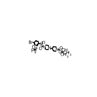 CC(C)(C)OC(=O)N1CCC(N2CCN(C(=O)N(Cl)c3ccc(Br)c(OC(F)(F)F)c3)CC2)CC1